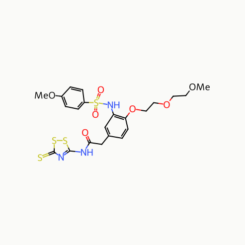 COCCOCCOc1ccc(CC(=O)Nc2nc(=S)ss2)cc1NS(=O)(=O)c1ccc(OC)cc1